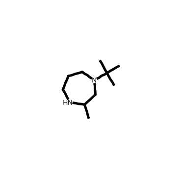 CC1CN(C(C)(C)C)CCCN1